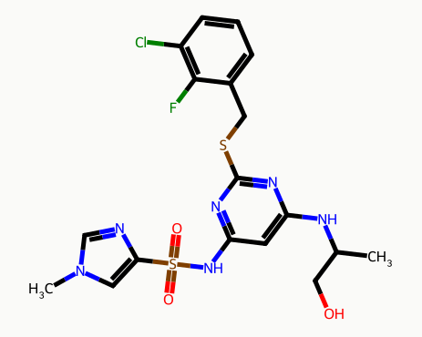 CC(CO)Nc1cc(NS(=O)(=O)c2cn(C)cn2)nc(SCc2cccc(Cl)c2F)n1